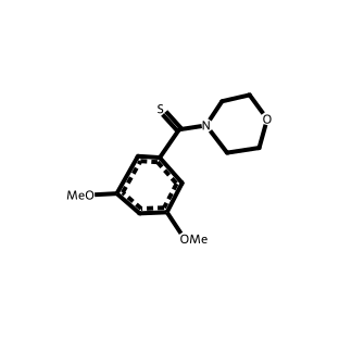 COc1cc(OC)cc(C(=S)N2CCOCC2)c1